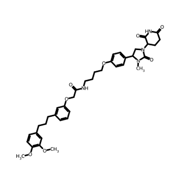 COc1ccc(CCCc2cccc(OCC(=O)NCCCCOc3ccc(C4CN(C5CCC(=O)NC5=O)C(=O)N4C)cc3)c2)cc1OC